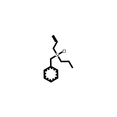 C=CC[Si](Cl)(CCC)Cc1ccccc1